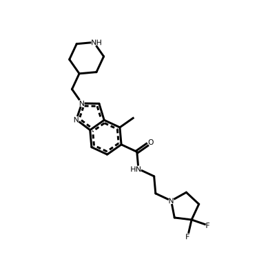 Cc1c(C(=O)NCCN2CCC(F)(F)C2)ccc2nn(CC3CCNCC3)cc12